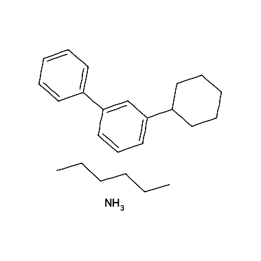 CCCCCC.N.c1ccc(-c2cccc(C3CCCCC3)c2)cc1